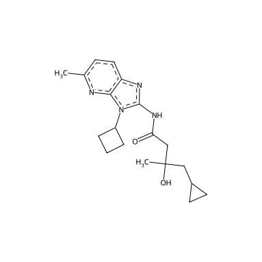 Cc1ccc2nc(NC(=O)CC(C)(O)CC3CC3)n(C3CCC3)c2n1